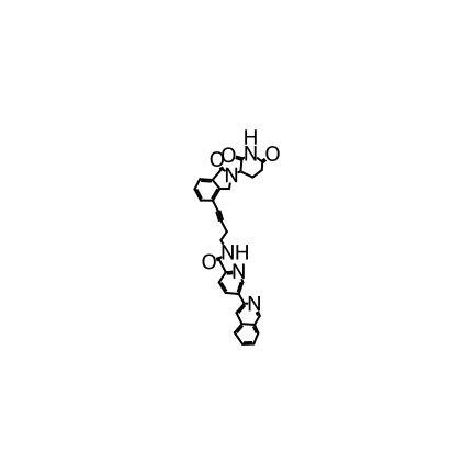 O=C1CCC(N2Cc3c(C#CCCNC(=O)c4ccc(-c5cc6ccccc6cn5)cn4)cccc3C2=O)C(=O)N1